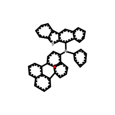 c1ccc(-c2cccc3cccc(-c4ccc(N(c5ccccc5)c5c6ccccc6cc6c5sc5ccccc56)cc4)c23)cc1